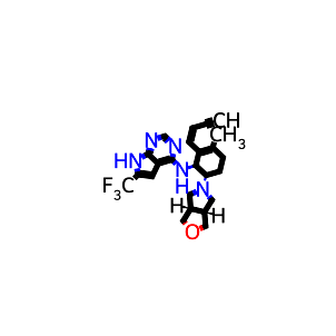 C#C/C=C\C1=C(C)CC[C@H](N2C[C@H]3COC[C@H]3C2)[C@H]1Nc1ncnc2[nH]c(C(F)(F)F)cc12